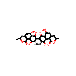 COC1=C(C2=C(OC)C(=O)c3c(c(O)cc4c3C(=O)OC(C)C4)C2=O)C(=O)c2c(O)cc3c(c2C1=O)C(=O)OC(C)C3